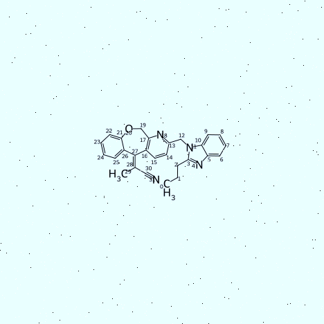 CCCc1nc2ccccc2n1Cc1ccc2c(n1)COc1ccccc1/C2=C(\C)C#N